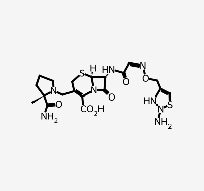 C[C@@]1(C(N)=O)CCCN1CC1=C(C(=O)O)N2C(=O)[C@@H](NC(=O)/C=N\OCC3=CSN(N)N3)[C@@H]2SC1